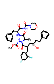 CC(C)C(C(=O)NC(Cc1ccccc1)C(=O)NC(=O)N1CCOCC1)N(NC(=O)OC(C)(C)C)C(=O)C(Cc1ccc(F)cc1F)C[C@@H](O)CCc1ccccc1